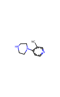 N#Cc1cnccc1N1CCNCC1